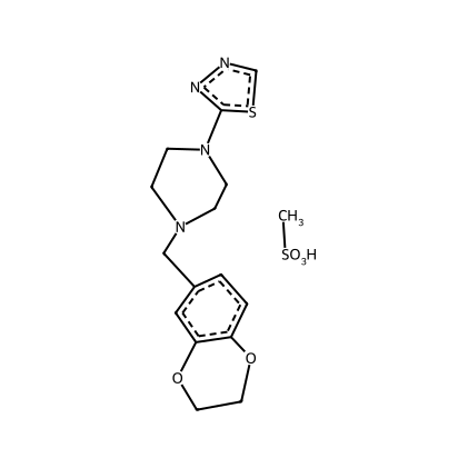 CS(=O)(=O)O.c1nnc(N2CCN(Cc3ccc4c(c3)OCCO4)CC2)s1